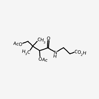 CC(=O)OCC(C)(C)C(OC(C)=O)C(=O)NCCC(=O)O